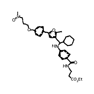 CCOC(=O)CCNC(=O)c1ccc(NC(c2cc(-c3ccc(OCCC[S+](C)[O-])cc3)oc2C)C2CCCCC2)cc1